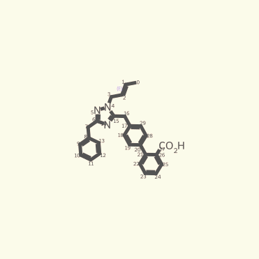 C/C=C/Cn1nc(Cc2ccccc2)nc1Cc1ccc(-c2ccccc2C(=O)O)cc1